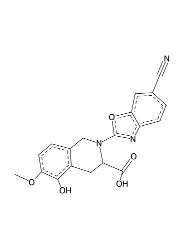 COc1ccc2c(c1O)CC(C(=O)O)N(c1nc3ccc(C#N)cc3o1)C2